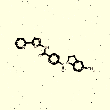 Cc1ccc2c(c1)CCN2[S+]([O-])c1ccc(C(=O)Nc2nc(-c3ccccn3)cs2)cc1